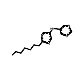 CCCCCCCc1ncc(Nc2cncnc2)cn1